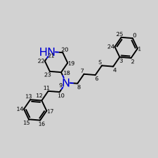 c1ccc(CCCCCN(CCc2ccccc2)C2CCNCC2)cc1